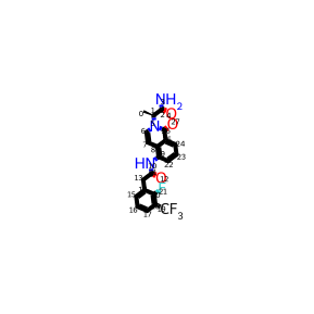 C[C@@H](C(N)=O)n1ccc2c(NC(=O)Cc3cccc(C(F)(F)F)c3F)cccc2c1=O